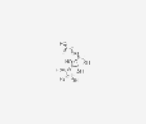 O=C(O)CS.O=C(O)CS.O=C(O)CS.SCC(S)CS